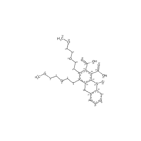 COCCOCCc1c(CCOCCOC)c(C(=O)O)c(C(=O)O)c2c1Cc1ccccc1[S+]2[O-]